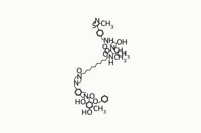 Cc1ncsc1-c1ccc(CNC(=O)[C@@H]2C[C@@H](O)CN2C(=O)C(NC(=O)CCCCCCCCCC(=O)N2CCN(Cc3ccc4c(c3)CN(C(=O)c3c(O)cc(O)c(C)c3OCc3ccccc3)C4)CC2)C(C)(C)C)cc1